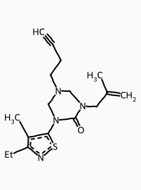 C#CCCN1CN(CC(=C)C)C(=O)N(c2snc(CC)c2C)C1